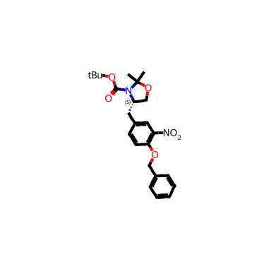 CC(C)(C)OC(=O)N1[C@@H](Cc2ccc(OCc3ccccc3)c([N+](=O)[O-])c2)COC1(C)C